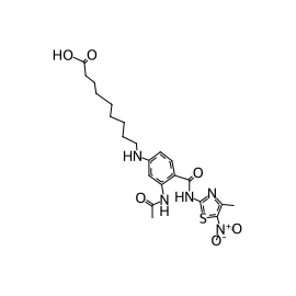 CC(=O)Nc1cc(NCCCCCCCCC(=O)O)ccc1C(=O)Nc1nc(C)c([N+](=O)[O-])s1